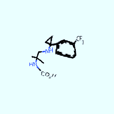 CC(C)(CNC1(c2cccc(C(F)(F)F)c2)CC1)NC(=O)O